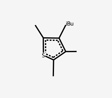 CCC(C)c1c(C)sc(C)c1C